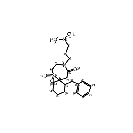 CN(C)CCCN1CCS(=O)(=O)C2(CCCCC2Cc2ccccc2)CC1=O